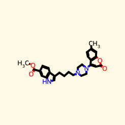 COC(=O)c1ccc2c(CCCCN3CCN(c4cc(=O)oc5cc(C)ccc45)CC3)c[nH]c2c1